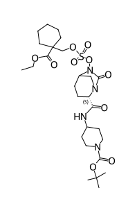 CCOC(=O)C1(COS(=O)(=O)ON2C(=O)N3CC2CC[C@H]3C(=O)NC2CCN(C(=O)OC(C)(C)C)CC2)CCCCC1